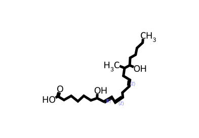 CCCCCC(O)C(C)C/C=C\C/C=C\C=C\C(O)CCCCCC(=O)O